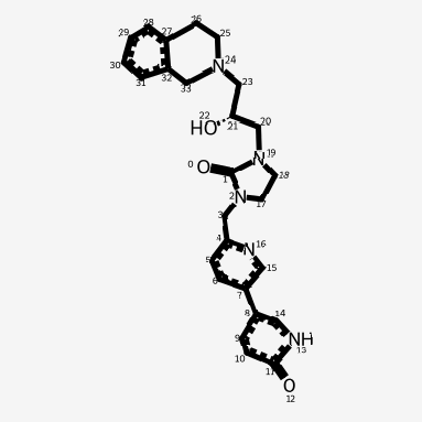 O=C1N(Cc2ccc(-c3ccc(=O)[nH]c3)cn2)CCN1C[C@H](O)CN1CCc2ccccc2C1